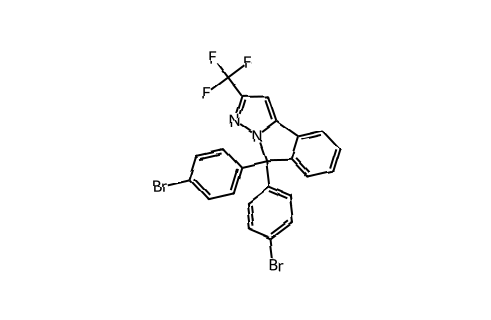 FC(F)(F)c1cc2n(n1)C(c1ccc(Br)cc1)(c1ccc(Br)cc1)c1ccccc1-2